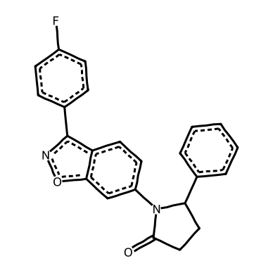 O=C1CCC(c2ccccc2)N1c1ccc2c(-c3ccc(F)cc3)noc2c1